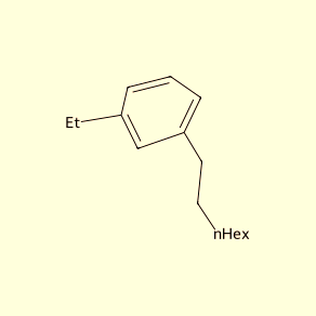 [CH2]Cc1cccc(CCCCCCCC)c1